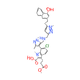 COC(=O)CCc1c(C(=O)O)n(C)c2c(-c3c(C)nn(C)c3CNCc3cc(CCc4cc(O)c5ccccc5c4)n(C)n3)c(Cl)ccc12